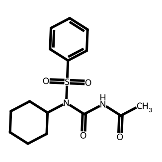 CC(=O)NC(=O)N(C1CCCCC1)S(=O)(=O)c1ccccc1